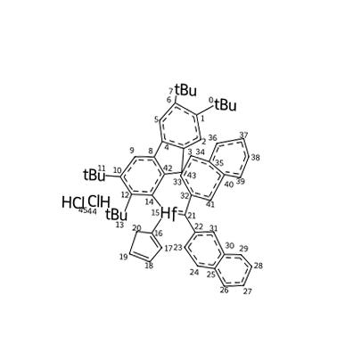 CC(C)(C)c1cc2c(cc1C(C)(C)C)-c1cc(C(C)(C)C)c(C(C)(C)C)[c]([Hf]([C]3=CC=CC3)=[C](c3ccc4ccccc4c3)c3ccc4ccccc4c3)c1C2.Cl.Cl